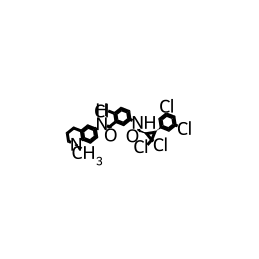 CN1CCCc2cc(NC(=O)c3cc(NC(=O)[C@H]4[C@H](c5cc(Cl)cc(Cl)c5)C4(Cl)Cl)ccc3Cl)ccc21